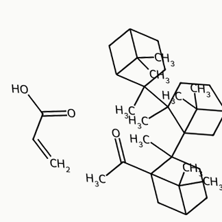 C=CC(=O)O.CC(=O)C12CC(CCC1(C)C13CC(CCC1(C)C1(C)CCC4CC1C4(C)C)C3(C)C)C2(C)C